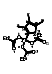 CCC(=O)[O][Ti]([O]C(=O)CC)([O]C(=O)CC)[C]1=C(C)C(C)=C(C)C1